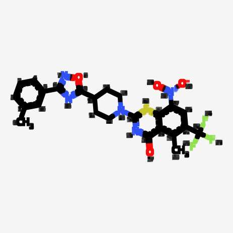 Cc1cccc(-c2noc(C3CCN(c4nc(=O)c5c(C)c(C(F)(F)F)cc([N+](=O)[O-])c5s4)CC3)n2)c1